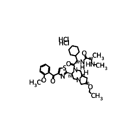 CCO[C@@H]1C[C@@H]2CN(C(=O)[C@@H](NC(=O)[C@H](C)NC)C3CCCCC3)[C@H](c3nc(C(=O)c4ccccc4OC)cs3)CN2C1.Cl.Cl